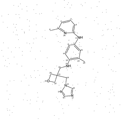 Cc1cccc(Nc2ccc(NCC3(Cn4cncn4)COC3)c(C)c2)n1